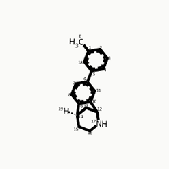 Cc1cccc(-c2ccc3c(c2)C2C[C@H]3CCN2)c1